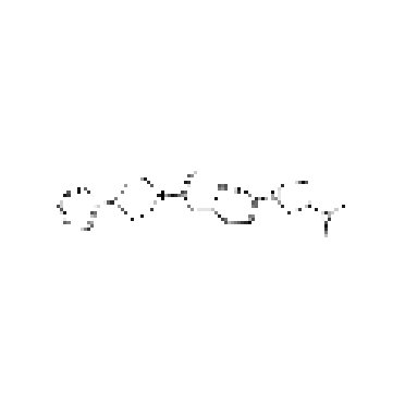 CN(C)C1CCN(c2ccc(NC(=O)N3CCN(c4ccncc4)CC3)cc2)C1